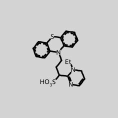 CCN1CC=CN=C1C(CCN1c2ccccc2Sc2ccccc21)S(=O)(=O)O